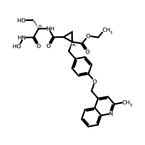 CCOC(=O)[C@@]1(Cc2ccc(OCc3cc(C)nc4ccccc34)cc2)CC1C(=O)N[C@@H](CO)C(=O)NO